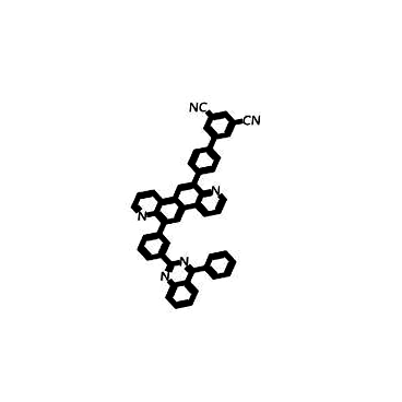 N#Cc1cc(C#N)cc(-c2ccc(-c3cc4c5cccnc5c(-c5cccc(-c6nc(-c7ccccc7)c7ccccc7n6)c5)cc4c4cccnc34)cc2)c1